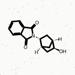 O=C1c2ccccc2C(=O)N1[C@@H]1C[C@@H]2C[C@H]1C[C@@H]2O